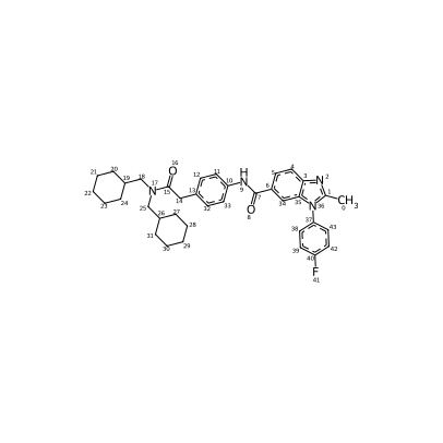 Cc1nc2ccc(C(=O)Nc3ccc(CC(=O)N(CC4CCCCC4)CC4CCCCC4)cc3)cc2n1-c1ccc(F)cc1